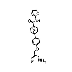 NC/C(=C\F)COc1ccc(C23CCC(C(=O)Nc4ncco4)(CC2)CC3)cc1